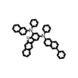 c1ccc(-c2ccc3cc(N(c4ccccc4)c4cc(N(c5ccccc5)c5ccc6ccccc6c5)c5sc6cc7ccccc7cc6c5c4)ccc3c2)cc1